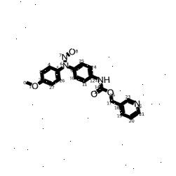 COc1ccc(N(N=O)c2ccc(NC(=O)OCc3cccnc3)cc2)cc1